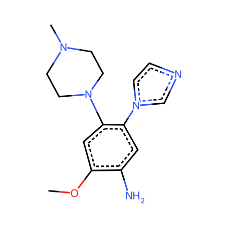 COc1cc(N2CCN(C)CC2)c(-n2ccnc2)cc1N